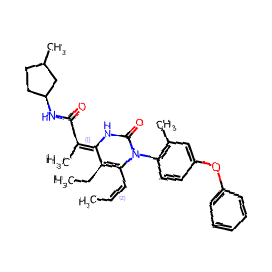 C/C=C\C1=C(CC)C(=C(\C)C(=O)NC2CCC(C)C2)/NC(=O)N1c1ccc(Oc2ccccc2)cc1C